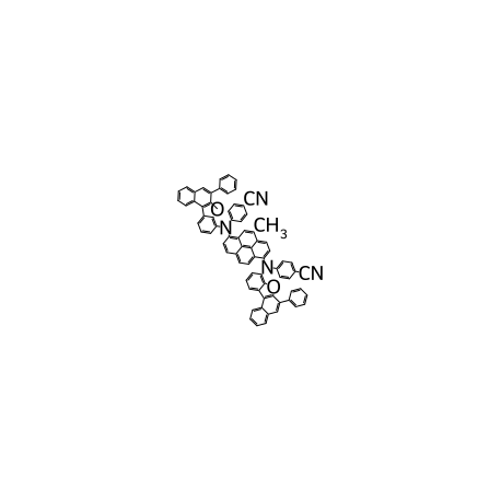 Cc1cc2c(N(c3ccc(C#N)cc3)c3cccc4c3oc3c(-c5ccccc5)cc5ccccc5c34)ccc3ccc4c(N(c5ccc(C#N)cc5)c5cccc6c5oc5c(-c7ccccc7)cc7ccccc7c56)ccc1c4c32